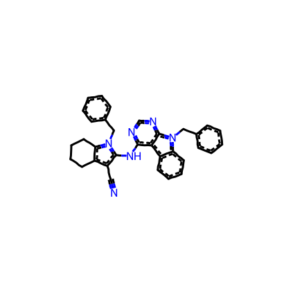 N#Cc1c2c(n(Cc3ccccc3)c1Nc1ncnc3c1c1ccccc1n3Cc1ccccc1)CCCC2